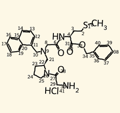 CSCC[C@H](NC(=O)CN(Cc1cccc2ccccc12)C[C@@H]1CCCN1C(=O)CN)C(=O)OCc1ccccc1.Cl